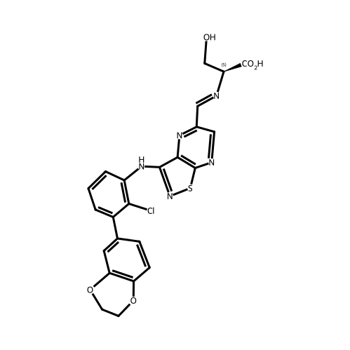 O=C(O)[C@H](CO)N=Cc1cnc2snc(Nc3cccc(-c4ccc5c(c4)OCCO5)c3Cl)c2n1